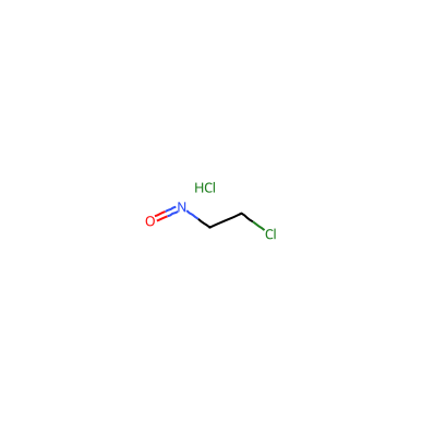 Cl.O=NCCCl